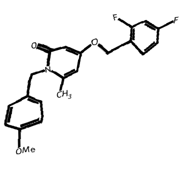 COc1ccc(Cn2c(C)cc(OCc3ccc(F)cc3F)cc2=O)cc1